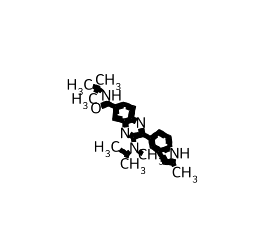 Cc1cc2cc(-c3nc4ccc(C(=O)NC(C)(C)C)cc4nc3N(C)C(C)C)ccc2[nH]1